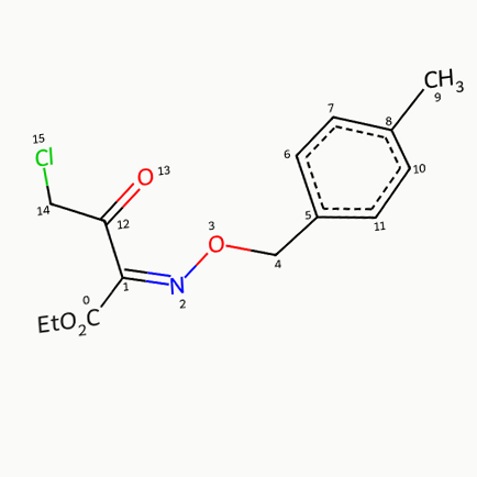 CCOC(=O)C(=NOCc1ccc(C)cc1)C(=O)CCl